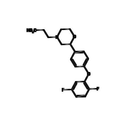 O=C(O)CCN1CCOC(c2ccc(Oc3cc(F)ccc3F)cc2)C1